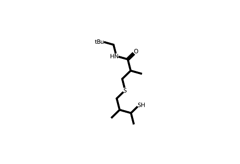 CC(CSCC(C)C(C)S)C(=O)NCC(C)(C)C